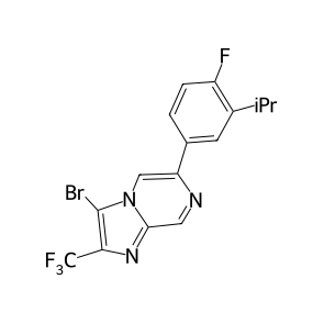 CC(C)c1cc(-c2cn3c(Br)c(C(F)(F)F)nc3cn2)ccc1F